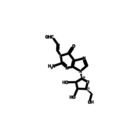 Nc1nc2c(ncn2[C@@H]2O[C@H](CO)C(O)C2O)c(=O)n1C=CC=O